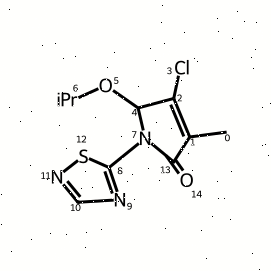 CC1=C(Cl)C(OC(C)C)N(c2ncns2)C1=O